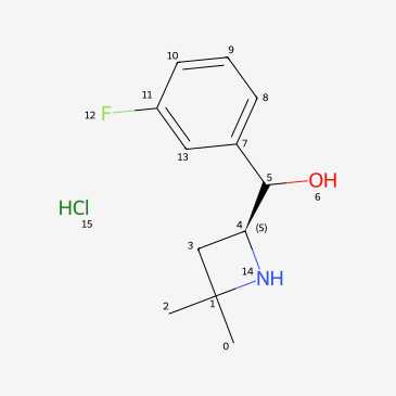 CC1(C)C[C@@H](C(O)c2cccc(F)c2)N1.Cl